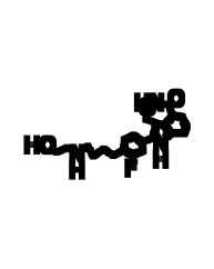 O=C1NOCc2c(-c3ccc(CCCCNCCO)c(F)c3)[nH]c3cccc1c23